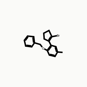 Cc1ccc(OCc2ccccc2)c(C2=C(Br)CCC2)c1